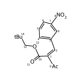 CC(=O)C(=Cc1cccc([N+](=O)[O-])c1)C(=O)OCC(C)(C)C